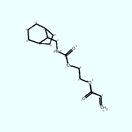 C=CC(=O)OCCOC(=O)NCC1C2CCCC1CC2